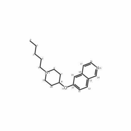 CCCCCN1CCC(Oc2ccc3cnccc3c2)CC1